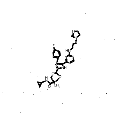 CC1(C(=O)NC2CC2)COC(c2nc(-c3ccc(F)cc3)c(-c3ccnc(NCCCN4C=NCC4)n3)[nH]2)OC1